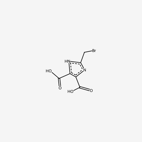 O=C(O)c1nc(CBr)[nH]c1C(=O)O